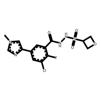 Cn1cnc(-c2cc(Cl)c(F)c(C(=O)NNS(=O)(=O)C3COC3)c2)c1